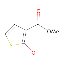 COC(=O)c1ccsc1[O]